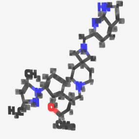 COC(=O)C[C@H](CN1CCC2(CC1)CN(Cc1ccc3cc[nH]c3n1)C2)c1cccc(-n2nc(C)cc2C)c1